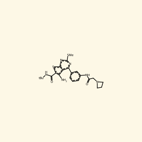 CSc1nc(-c2cccc(NC(=O)CN3CCC3)c2)c2c(N)c(C(=O)NC(C)(C)C)sc2n1